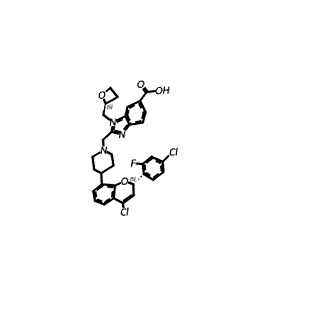 O=C(O)c1ccc2nc(CN3CCC(c4cccc5c4O[C@H](c4ccc(Cl)cc4F)C=C5Cl)CC3)n(C[C@@H]3CCO3)c2c1